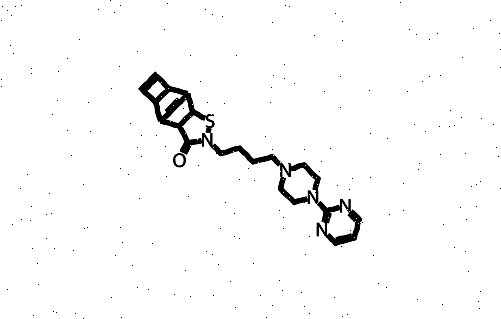 O=C1C2C3C=CC(C4C=CC43)C2SN1CCCCN1CCN(c2ncccn2)CC1